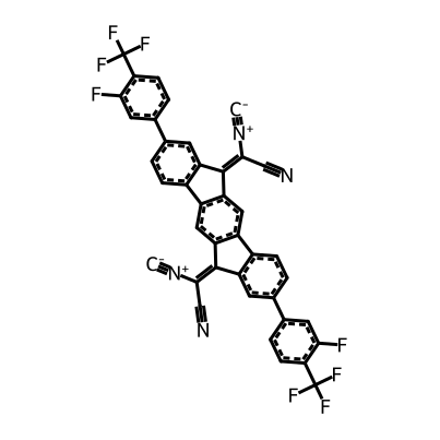 [C-]#[N+]/C(C#N)=C1/c2cc(-c3ccc(C(F)(F)F)c(F)c3)ccc2-c2cc3c(cc21)-c1ccc(-c2ccc(C(F)(F)F)c(F)c2)cc1/C3=C(/C#N)[N+]#[C-]